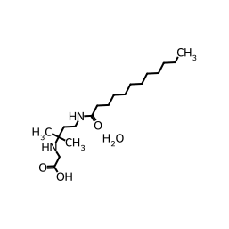 CCCCCCCCCCCC(=O)NCCC(C)(C)NCC(=O)O.O